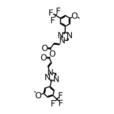 COc1cc(-c2ncn(C=CC(=O)OC(=O)C=Cn3cnc(-c4cc(OC)cc(C(F)(F)F)c4)n3)n2)cc(C(F)(F)F)c1